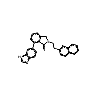 O=C1c2c(cccc2-c2ccc3nc[nH]c3c2)CN1CCc1ccc2ccccc2n1